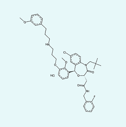 COc1cccc(CCCNCCCOc2cccc([C@@H]3O[C@@H](CC(=O)NCc4ccccc4F)C(=O)N(CC(C)(C)C)c4ccc(Cl)cc43)c2OC)c1.Cl